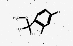 COC(C)(O)c1ccc(Cl)cc1F